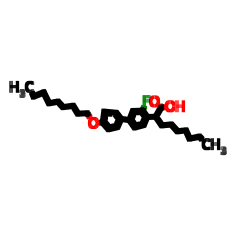 CCCCCCCCCOc1ccc(-c2ccc(C(CCCCCCC)C(=O)O)c(F)c2)cc1